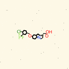 O=C(O)C[C@H]1CCn2c1cc1cc(OCc3ccc(Cl)c(C(F)(F)F)c3)ccc12